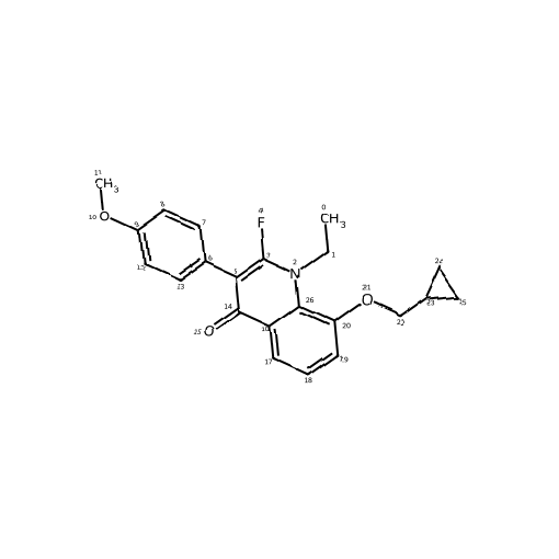 CCn1c(F)c(-c2ccc(OC)cc2)c(=O)c2cccc(OCC3CC3)c21